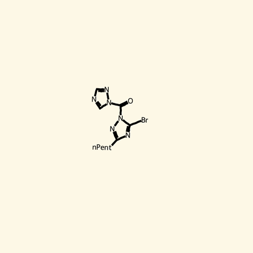 CCCCCc1nc(Br)n(C(=O)n2cncn2)n1